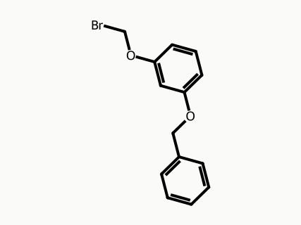 BrCOc1cccc(OCc2ccccc2)c1